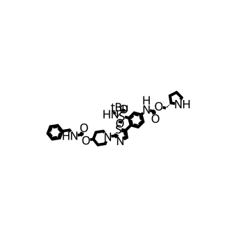 CC(C)(C)NS(=O)(=O)c1cc(NC(=O)OC[C@@H]2CCCN2)ccc1-c1cnc(N2CCC(OC(=O)NCc3ccccc3)CC2)s1